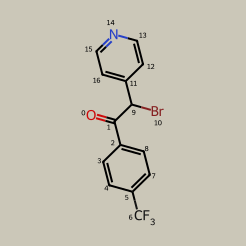 O=C(c1ccc(C(F)(F)F)cc1)C(Br)c1ccncc1